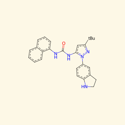 CC(C)(C)c1cc(NC(=O)Nc2cccc3ccccc23)n(-c2ccc3c(c2)CCN3)n1